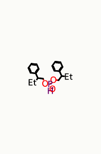 CCC(CO[PH](=O)OCC(CC)c1ccccc1)c1ccccc1